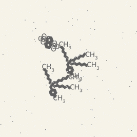 CCCCCCCC[N+](CCCCCCCC)(CCCCCCCC)Cc1ccc(C)cc1.CCCCCCCC[N+](CCCCCCCC)(CCCCCCCC)Cc1ccc(C)cc1.O=S(=O)([O-])c1cccc2c(S(=O)(=O)[O-])cccc12